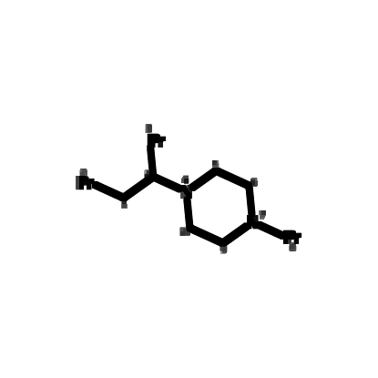 CC(C)CC(C(C)C)N1CCN(C(C)C)CC1